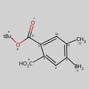 Bc1cc(C(=O)O)c(C(=O)OC(C)(C)C)cc1C